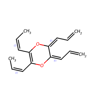 C=C/C=C1/OC(/C=C\C)=C(/C=C\C)O/C1=C/C=C